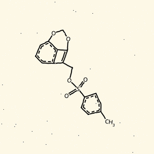 Cc1ccc(S(=O)(=O)OCC2=C3OCOc4cccc2c43)cc1